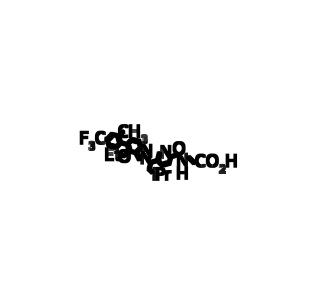 CCOc1c(-c2ccc(C(F)(F)F)cc2C)ccc2nn(C(CC(C)C)c3ccc(C(=O)NCCC(=O)O)nc3)cc12